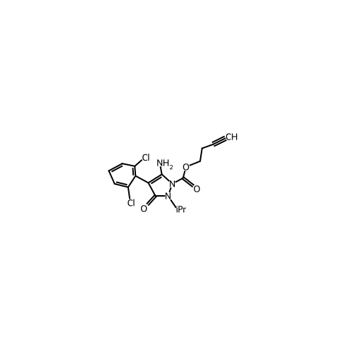 C#CCCOC(=O)n1c(N)c(-c2c(Cl)cccc2Cl)c(=O)n1C(C)C